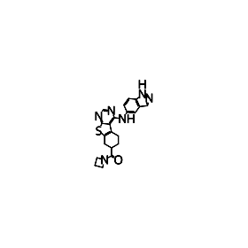 O=C(C1CCc2c(sc3ncnc(Nc4ccc5[nH]ncc5c4)c23)C1)N1CCC1